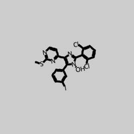 CSc1nccc(-c2nc(-c3c(Cl)cccc3Cl)n(O)c2-c2cccc(I)c2)n1